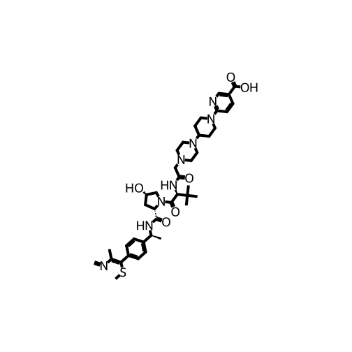 C=N/C(C)=C(\SC)c1ccc([C@H](C)NC(=O)[C@@H]2C[C@@H](O)CN2C(=O)[C@@H](NC(=O)CN2CCN(C3CCN(c4ccc(C(=O)O)cn4)CC3)CC2)C(C)(C)C)cc1